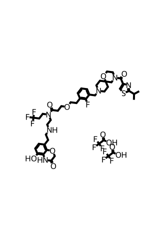 CC(C)c1nc(C(=O)N2CCOC3(CCN(Cc4cccc(CCOCCC(=O)N(CCNCCc5ccc(O)c6c5OCC(=O)N6)CCC(F)(F)F)c4F)CC3)C2)cs1.O=C(O)C(F)(F)F.O=C(O)C(F)(F)F